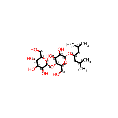 CC(C)CC(CC(C)C)O[C@@H]1OC(CO)[C@@H](O[C@H]2OC(CO)[C@@H](O)C(O)C2O)C(O)C1O